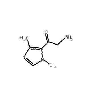 Cc1ncn(C)c1C(=O)CN